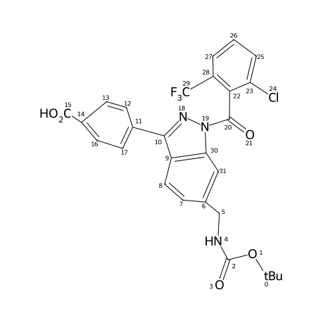 CC(C)(C)OC(=O)NCc1ccc2c(-c3ccc(C(=O)O)cc3)nn(C(=O)c3c(Cl)cccc3C(F)(F)F)c2c1